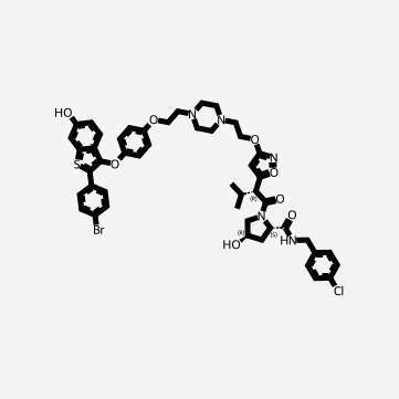 CC(C)[C@@H](C(=O)N1C[C@H](O)C[C@H]1C(=O)NCc1ccc(Cl)cc1)c1cc(OCCN2CCN(CCOc3ccc(Oc4c(-c5ccc(Br)cc5)sc5cc(O)ccc45)cc3)CC2)no1